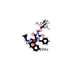 COc1ccc2c(c1)[C@]13CCN(CC4CC4)[C@H](C2)[C@]1(O)CC[C@]1(C3)C(=O)N(COCC[Si](C)(C)C)C(=O)N1Cc1ccccc1